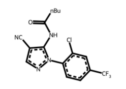 CCCCC(=O)Nc1c(C#N)cnn1-c1ccc(C(F)(F)F)cc1Cl